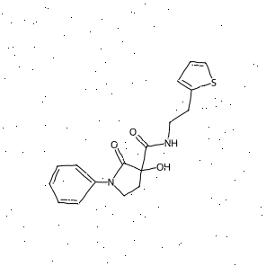 O=C(NCCc1cccs1)C1(O)CCN(c2ccccc2)C1=O